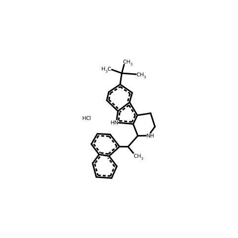 CC(c1cccc2ccccc12)C1NCCc2c1[nH]c1ccc(C(C)(C)C)cc21.Cl